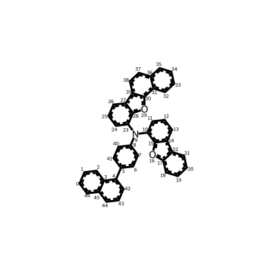 c1ccc2c(-c3ccc(N(c4cccc5c4oc4ccccc45)c4cccc5c4oc4c6ccccc6ccc54)cc3)cccc2c1